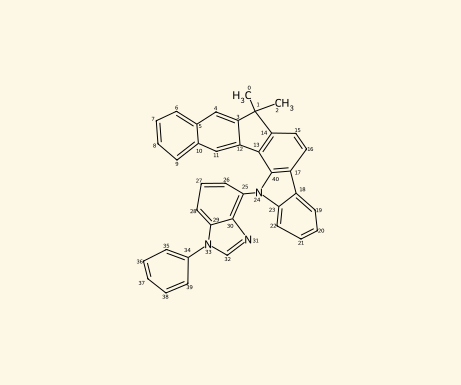 CC1(C)c2cc3ccccc3cc2-c2c1ccc1c3ccccc3n(-c3cccc4c3ncn4-c3ccccc3)c21